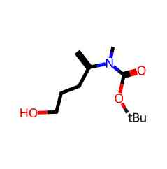 C=C(CCCO)N(C)C(=O)OC(C)(C)C